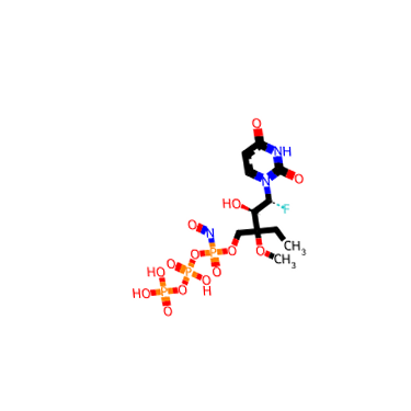 CCC(COP(=O)(N=O)OP(=O)(O)OP(=O)(O)O)(OC)[C@@H](O)[C@@H](F)n1ccc(=O)[nH]c1=O